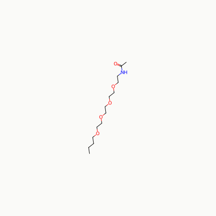 CCCCOCCOCCOCCOCCNC(C)=O